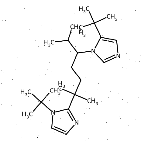 CC(C)C(CCC(C)(C)c1nccn1C(C)(C)C)n1cncc1C(C)(C)C